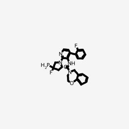 O=C(Nc1c(-c2ccccc2F)ccnc1N1CCC(F)(P)C1)N1CCOc2ccccc2C1